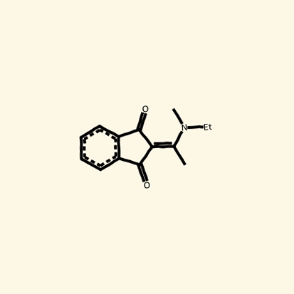 CCN(C)C(C)=C1C(=O)c2ccccc2C1=O